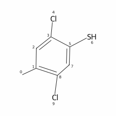 Cc1cc(Cl)c(S)cc1Cl